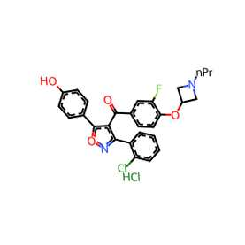 CCCN1CC(Oc2ccc(C(=O)c3c(-c4ccccc4Cl)noc3-c3ccc(O)cc3)cc2F)C1.Cl